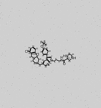 O=C(NCCCn1cc(-c2ccc(OC(F)(F)F)cc2)c2cc(CN3CCN(Cc4c(Cl)cccc4Cl)CC3)cnc21)C1CNCCN1